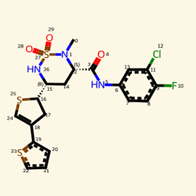 CN1[C@H](C(=O)Nc2ccc(F)c(Cl)c2)C[C@H](C2CC(c3cccs3)=CS2)NS1(=O)=O